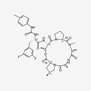 Cc1ccc(NC(=O)N[C@@H](Cc2cc(F)cc(F)c2)C(=O)N[C@@H]2C(=O)N3CCC[C@H]3C(=O)N(C)[C@@H](C)C(=O)N[C@@H](C)C(=O)N3C[C@@H](C)C[C@H]3C(=O)O[C@H]2C)cc1